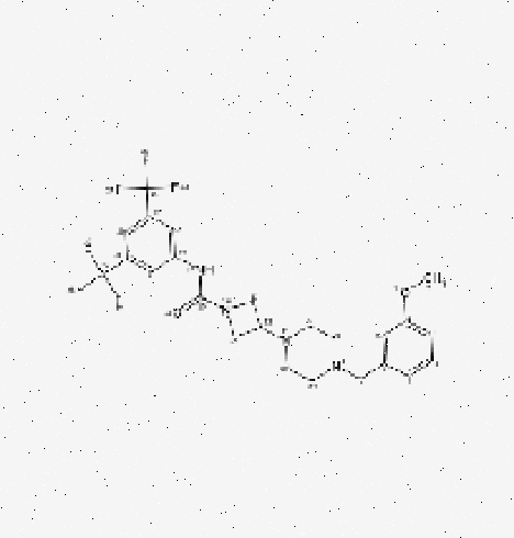 COc1cccc(CN2CCN(C3CN(C(=O)Nc4cc(C(F)(F)F)cc(C(F)(F)F)c4)C3)CC2)c1